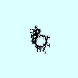 Cn1nc2cc1C(=O)NCCCNCCN(c1ccc(F)c(Cl)c1)c1ccnc3ccc-2cc13